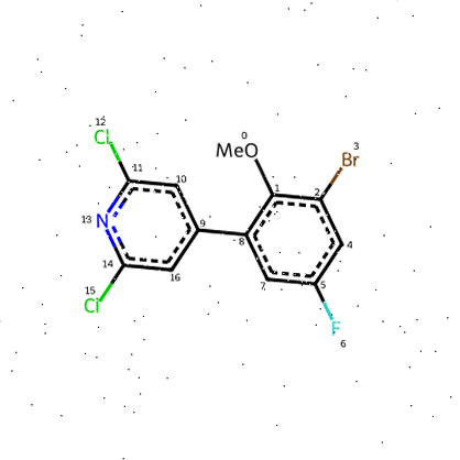 COc1c(Br)cc(F)cc1-c1cc(Cl)nc(Cl)c1